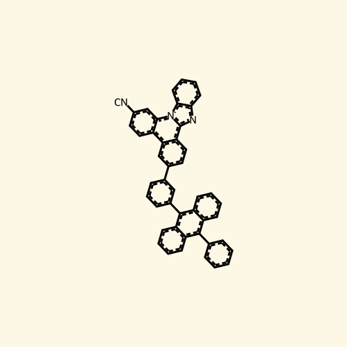 [C-]#[N+]c1ccc2c3cc(-c4cccc(-c5c6ccccc6c(-c6ccccc6)c6ccccc56)c4)ccc3c3nc4ccccc4n3c2c1